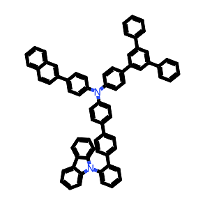 c1ccc(-c2cc(-c3ccccc3)cc(-c3ccc(N(c4ccc(-c5ccc(-c6ccccc6-n6c7ccccc7c7ccccc76)cc5)cc4)c4ccc(-c5ccc6ccccc6c5)cc4)cc3)c2)cc1